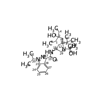 CCC(O)(CC)C[C@]1(C(C)(C)C)C[C@H](NC(=O)c2nn(C(C)C)c3ccccc23)CN1C(=O)O